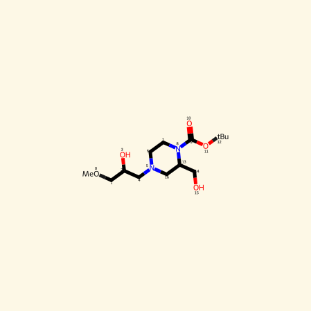 COCC(O)CN1CCN(C(=O)OC(C)(C)C)C(CO)C1